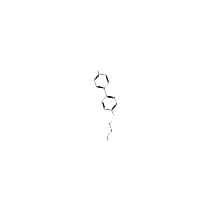 CCCCCc1ccc(-c2ccc(OCCCO)cc2)cc1